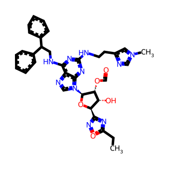 CCc1nc([C@H]2O[C@@H](n3cnc4c(NCC(c5ccccc5)c5ccccc5)nc(NCCc5cn(C)cn5)nc43)[C@H](OC=O)[C@@H]2O)no1